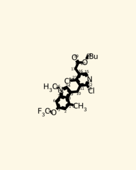 Cc1cc(OC(F)(F)F)cc2c1c(Cc1c(Cl)ncc(CC(=O)OC(C)(C)C)c1Cl)cn2C